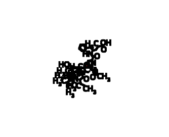 CC[C@H](C)[C@H](NC(=O)C(C(C)C)N(C)C(=O)C(C)(C)CO)C(=O)N(C)C(C[C@@H](OC(C)=O)c1nc(C(=O)N[C@@H](Cc2ccccc2)CC(C)C(=O)O)cs1)C(C)C